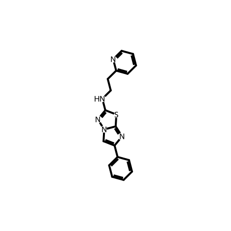 c1ccc(-c2cn3nc(NCCc4ccccn4)sc3n2)cc1